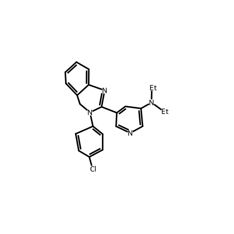 CCN(CC)c1cncc(C2=Nc3ccccc3CN2c2ccc(Cl)cc2)c1